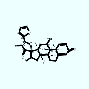 CC1C[C@H]2[C@@H]3CCC4=CC(=O)C=C[C@]4(C)[C@@]3(F)C(O)C[C@]2(C)[C@@]1(OC(=O)c1ccco1)C(=O)CF